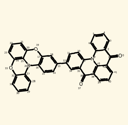 O=c1c2ccccc2n2c3ccc(-c4ccc5c(c4)Oc4cccc6c4B5c4ccccc4O6)cc3c(=O)c3cccc1c32